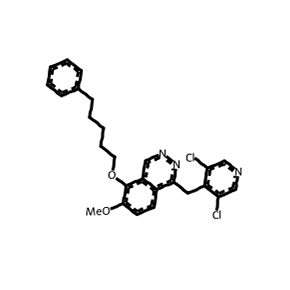 COc1ccc2c(Cc3c(Cl)cncc3Cl)nncc2c1OCCCCCc1ccccc1